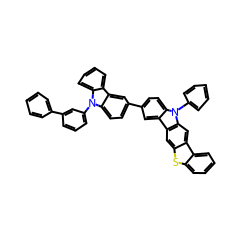 c1ccc(-c2cccc(-n3c4ccccc4c4cc(-c5ccc6c(c5)c5cc7sc8ccccc8c7cc5n6-c5ccccc5)ccc43)c2)cc1